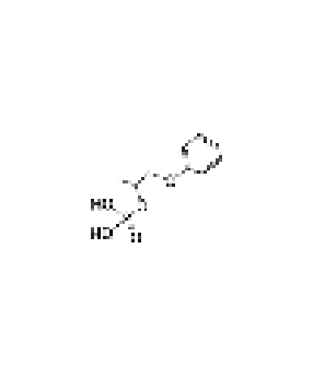 CC(COc1ccccc1)OP(=O)(O)O